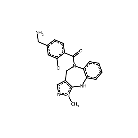 Cn1ncc2c1Nc1ccccc1N(C(=O)c1ccc(CN)cc1Cl)C2